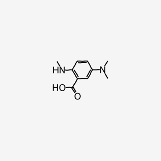 CNc1ccc(N(C)C)cc1C(=O)O